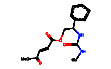 COC(=O)/C=C/C(=O)OC[C@H](NC(=O)NC(C)(C)C)c1ccccc1